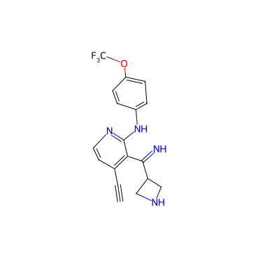 C#Cc1ccnc(Nc2ccc(OC(F)(F)F)cc2)c1C(=N)C1CNC1